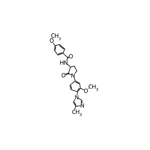 COc1ccc(C(=O)NC2CCN(c3ccc(-n4cnc(C)c4)c(OC)c3)C2=O)cc1